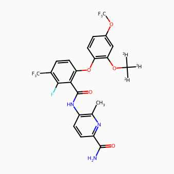 [2H]C([2H])([2H])Oc1cc(OC(F)(F)F)ccc1Oc1ccc(C(F)(F)F)c(F)c1C(=O)Nc1ccc(C(N)=O)nc1C